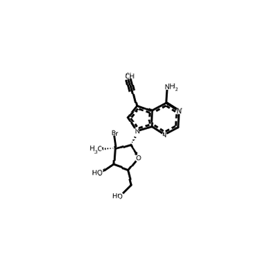 C#Cc1cn([C@@H]2OC(CO)C(O)[C@@]2(C)Br)c2ncnc(N)c12